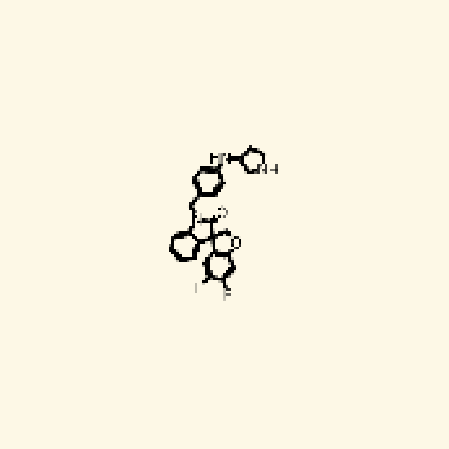 O=C1N(Cc2ccc(NC3CCNC3)cc2)c2ccccc2C12COc1cc(F)c(F)cc12